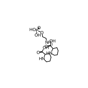 NCCOP(=O)(O)O.O=C(O)C1CCCCN1.O=C(O)C1CCCCN1